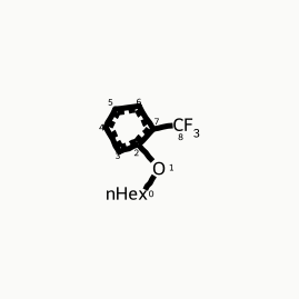 CCCCCCOc1ccccc1C(F)(F)F